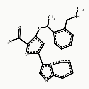 CNCc1ccccc1C(C)Oc1cc(-c2cnc3ccccn23)sc1C(N)=O